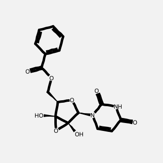 O=C(OC[C@H]1O[C@@H](n2ccc(=O)[nH]c2=O)[C@]2(O)O[C@]12O)c1ccccc1